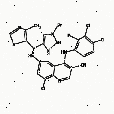 Cc1ncsc1[C@H](Nc1cc(Cl)c2ncc(C#N)c(Nc3ccc(Cl)c(Cl)c3F)c2c1)C1=CN(C(C)C)NN1